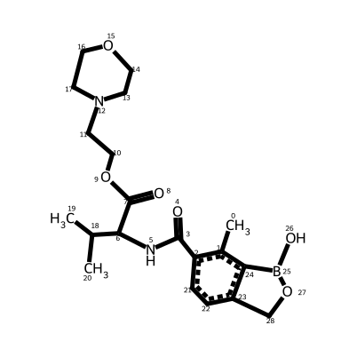 Cc1c(C(=O)NC(C(=O)OCCN2CCOCC2)C(C)C)ccc2c1B(O)OC2